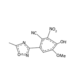 COc1cc(-c2noc(C)n2)c(C#N)c([N+](=O)[O-])c1O